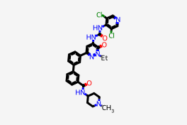 CCn1nc(-c2cccc(-c3cccc(C(=O)NC4CCN(C)CC4)c3)c2)cc(NC(=O)Nc2c(Cl)cncc2Cl)c1=O